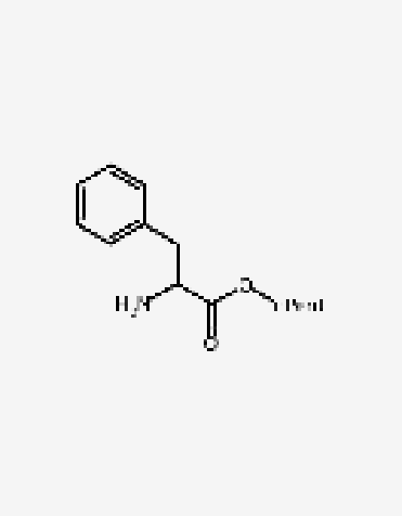 CCCCCOC(=O)C(N)Cc1ccccc1